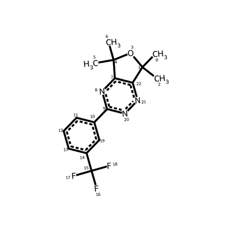 CC1(C)OC(C)(C)c2nc(-c3cccc(C(F)(F)F)c3)nnc21